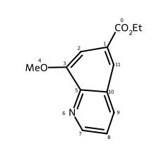 CCOC(=O)c1cc(OC)c2ncccc2c1